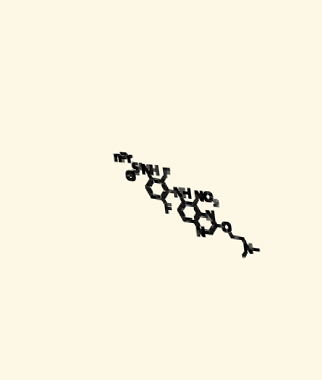 CCC[S+]([O-])Nc1ccc(F)c(Nc2ccc3ncc(OCCN(C)C)nc3c2[N+](=O)[O-])c1F